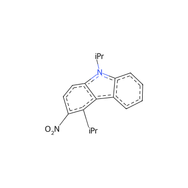 CC(C)c1c([N+](=O)[O-])ccc2c1c1ccccc1n2C(C)C